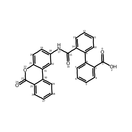 O=C(O)c1ccccc1-c1ccccc1C(=O)Nc1ccc2oc(=O)c3ccccc3c2c1